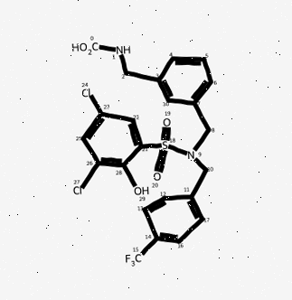 O=C(O)NCc1cccc(CN(Cc2ccc(C(F)(F)F)cc2)S(=O)(=O)c2cc(Cl)cc(Cl)c2O)c1